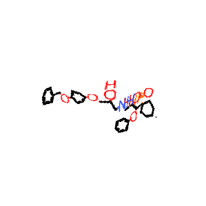 O=[PH](O)C1(C(CCNCC(O)COc2ccc(OCc3ccccc3)cc2)Oc2ccccc2)CC[CH]CC1